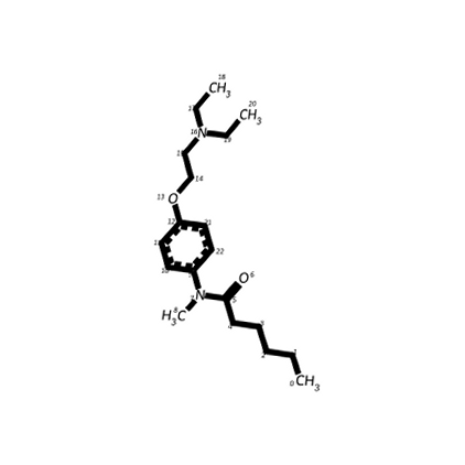 CCCCCC(=O)N(C)c1ccc(OCCN(CC)CC)cc1